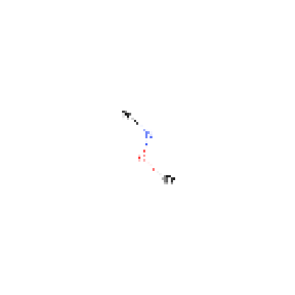 CC(C)[N]OC(C)C